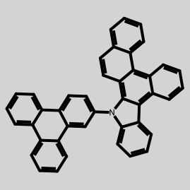 c1ccc2c(c1)ccc1c2c2ccccc2c2c3ccccc3n(-c3ccc4c5ccccc5c5ccccc5c4c3)c12